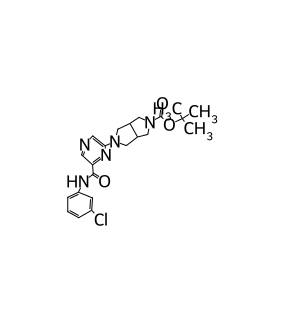 CC(C)(C)OC(=O)N1CC2CN(c3cncc(C(=O)Nc4cccc(Cl)c4)n3)CC2C1